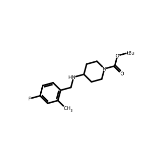 Cc1cc(F)ccc1CNC1CCN(C(=O)OC(C)(C)C)CC1